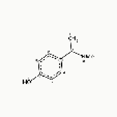 CNC(C)c1ccc(O)cc1